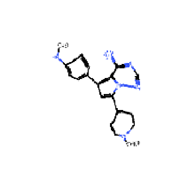 Nc1ncnn2c(C3CCN(C=O)CC3)cc(-c3ccc(NC=O)cc3)c12